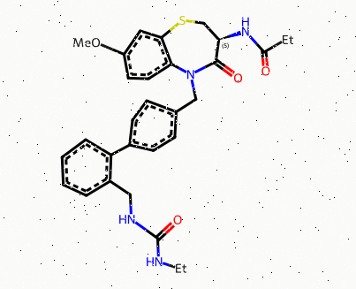 CCNC(=O)NCc1ccccc1-c1ccc(CN2C(=O)[C@H](NC(=O)CC)CSc3cc(OC)ccc32)cc1